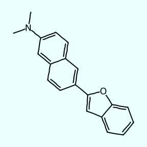 CN(C)c1ccc2cc(-c3cc4ccccc4o3)ccc2c1